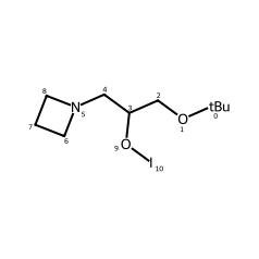 CC(C)(C)OCC(CN1CCC1)OI